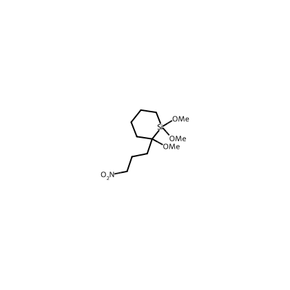 COC1(CCC[N+](=O)[O-])CCCC[Si]1(OC)OC